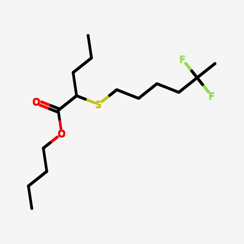 CCCCOC(=O)C(CCC)SCCCCC(C)(F)F